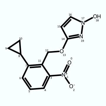 O=[N+]([O-])c1cccc(C2CC2)c1COc1ccn(O)n1